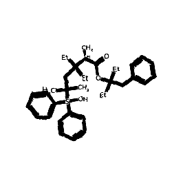 CCC(CC)(Cc1ccccc1)OC(=O)[C@H](C)C(CC)(CC)CC(C)(C)[Si](O)(c1ccccc1)c1ccccc1